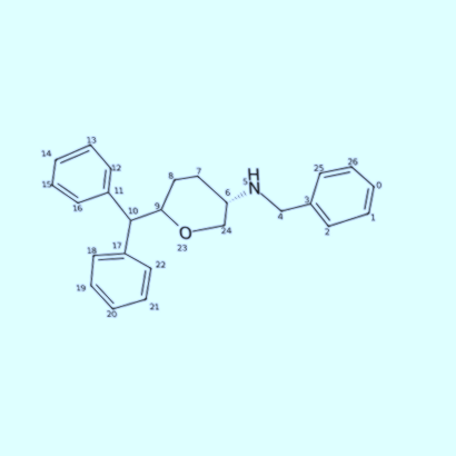 c1ccc(CN[C@H]2CCC(C(c3ccccc3)c3ccccc3)OC2)cc1